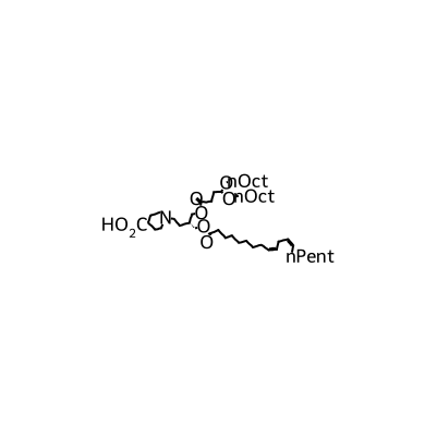 CCCCC/C=C\C/C=C\CCCCCCCC(=O)OC[C@H](CCN1CCC(C(=O)O)CC1)COC(=O)CCC(OCCCCCCCC)OCCCCCCCC